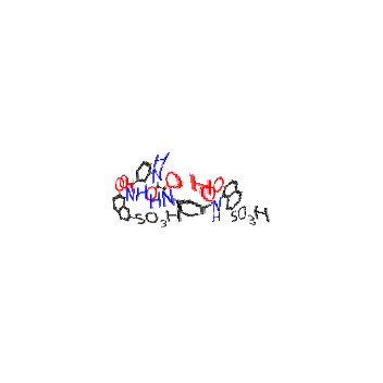 O=C(Nc1cccc(C(=O)Nc2c(O)ccc3ccc(S(=O)(=O)O)cc23)c1)C(=O)Nc1cccc(C(=O)Nc2c(O)ccc3ccc(S(=O)(=O)O)cc23)c1